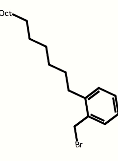 CCCCCCCCCCCCCCc1ccccc1CBr